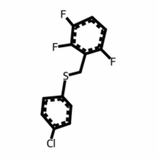 Fc1ccc(F)c(CSc2ccc(Cl)cc2)c1F